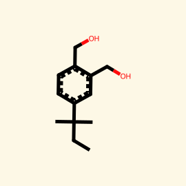 CCC(C)(C)c1ccc(CO)c(CO)c1